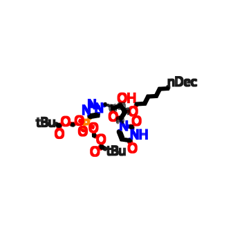 CCCCCCCCCCCCCCCCO[C@@H]1[C@H](O)[C@@H](Cn2cc(P(=O)(OCOC(=O)C(C)(C)C)OCOC(=O)C(C)(C)C)nn2)O[C@H]1n1ccc(=O)[nH]c1=O